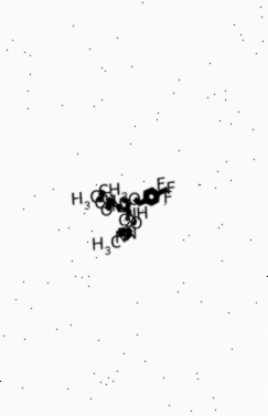 Cn1cnc(S(=O)(=O)NC2CN(C(=O)OC(C)(C)C)CC2OCc2ccc(C(F)(F)F)cc2)c1